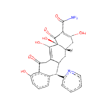 NC(=O)C1=C(O)C[C@@H]2CC3C(=C(O)[C@]2(O)C1=O)C(=O)c1c(O)cccc1[C@@H]3c1ccccn1